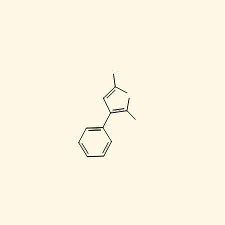 CC(C)(C)c1cc(-c2ccccc2)c(C(F)(F)F)s1